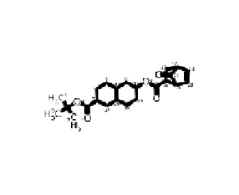 CC(C)(C)OC(=O)C1CCC2CC(OC(=O)C3CC4C=CC3C4=O)CCC2C1